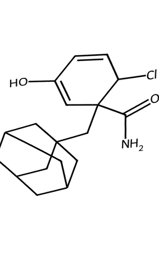 NC(=O)C1(CC23CC4CC(CC(C4)C2)C3)C=C(O)C=CC1Cl